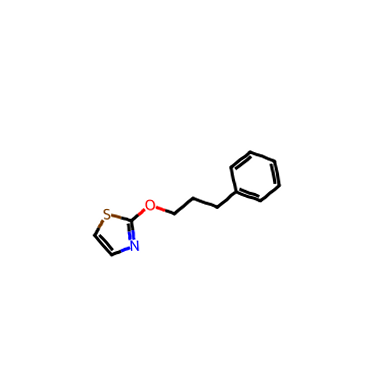 c1ccc(CCCOc2nccs2)cc1